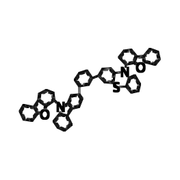 c1cc(-c2ccc3c(c2)Sc2ccccc2N3c2cccc3c2oc2ccccc23)cc(-c2ccc3c4ccccc4n(-c4cccc5c4oc4ccccc45)c3c2)c1